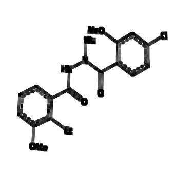 CCc1c(OC)cccc1C(=O)NN(C(=O)c1ccc(Cl)cc1OC)C(C)(C)C